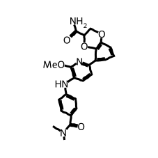 COc1nc(-c2cccc3c2OC(C(N)=O)CO3)ccc1Nc1ccc(C(=O)N(C)C)cc1